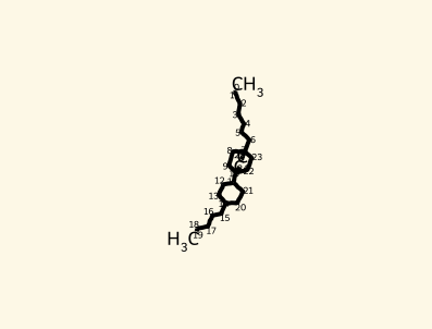 CCCCCCCC12CCC(C3CCC(CCCCC)CC3)(CC1)CC2